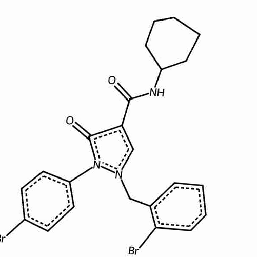 O=C(NC1CCCCC1)c1cn(Cc2ccccc2Br)n(-c2ccc(Br)cc2)c1=O